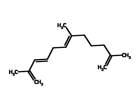 C=C(C)/C=C/C/C=C(\C)CCCC(=C)C